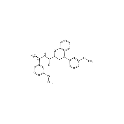 COc1cccc([C@@H](C)NC(=O)C2CN(c3cccc(OC)c3)c3ccccc3O2)c1